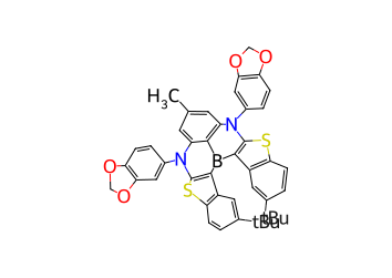 Cc1cc2c3c(c1)N(c1ccc4c(c1)OCO4)c1sc4ccc(C(C)(C)C)cc4c1B3c1c(sc3ccc(C(C)(C)C)cc13)N2c1ccc2c(c1)OCO2